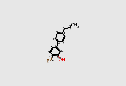 CCCc1ccc(-c2ccc(Br)c(O)c2)cc1